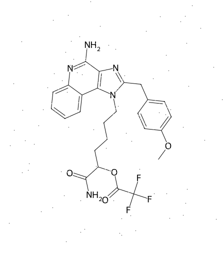 COc1ccc(Cc2nc3c(N)nc4ccccc4c3n2CCCCC(OC(=O)C(F)(F)F)C(N)=O)cc1